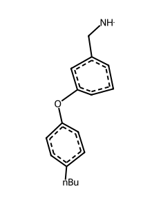 CCCCc1ccc(Oc2cccc(C[NH])c2)cc1